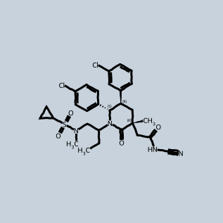 CCC(CN(C)S(=O)(=O)C1CC1)N1C(=O)[C@@](C)(CC(=O)NC#N)C[C@H](c2cccc(Cl)c2)[C@H]1c1ccc(Cl)cc1